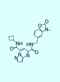 Cn1c(=O)oc2ccc(CNC(=O)c3cc(C(=O)NC4CCC4)n4nccc4n3)cc21